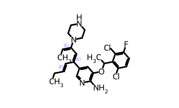 C\C=C(/C=C(\C=C\CC)c1cnc(N)c(OC(C)c2c(Cl)ccc(F)c2Cl)c1)N1CCNCC1